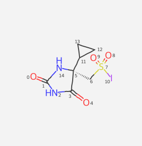 O=C1NC(=O)[C@](CS(=O)(=O)I)(C2CC2)N1